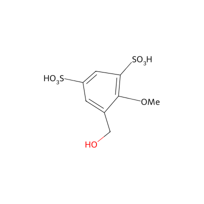 COc1c(CO)cc(S(=O)(=O)O)cc1S(=O)(=O)O